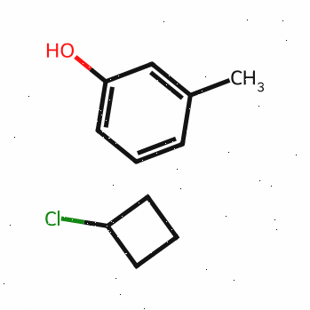 Cc1cccc(O)c1.ClC1CCC1